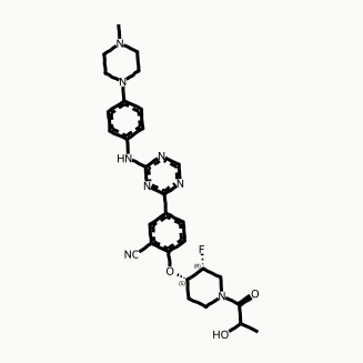 CC(O)C(=O)N1CC[C@H](Oc2ccc(-c3ncnc(Nc4ccc(N5CCN(C)CC5)cc4)n3)cc2C#N)[C@H](F)C1